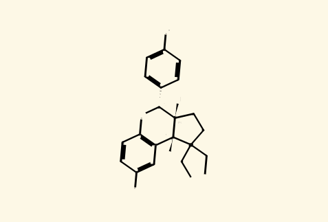 CCC1(CC)CC[C@H]2[C@@H](c3ccc(O)cc3)Oc3ccc(O)cc3[C@H]21